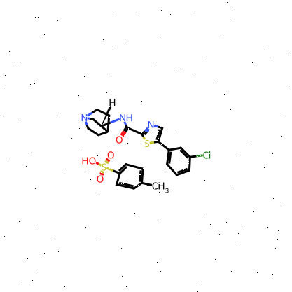 Cc1ccc(S(=O)(=O)O)cc1.O=C(N[C@H]1CN2CCC1CC2)c1ncc(-c2cccc(Cl)c2)s1